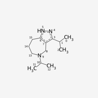 CC(C)c1n[nH]c2c1CN(C(C)C)CCC2